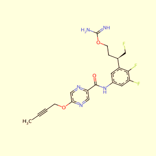 CC#CCOc1cnc(C(=O)Nc2cc(F)c(F)c([C@H](CF)CCOC(=N)N)c2)cn1